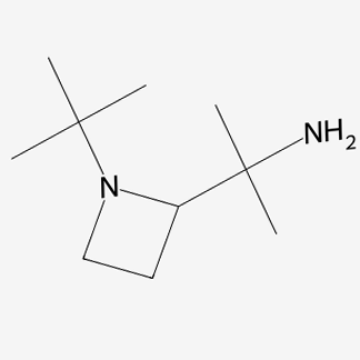 CC(C)(N)C1CCN1C(C)(C)C